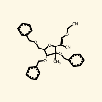 C[C@@]1(OCc2ccccc2)[C@H](OCc2ccccc2)[C@@H](COCc2ccccc2)O[C@H]1/C(C#N)=C/OCC#N